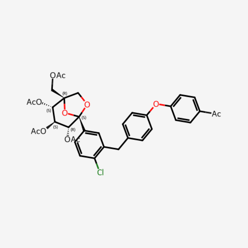 CC(=O)OC[C@@]12CO[C@@](c3ccc(Cl)c(Cc4ccc(Oc5ccc(C(C)=O)cc5)cc4)c3)(O1)[C@H](OC(C)=O)[C@@H](OC(C)=O)[C@@H]2OC(C)=O